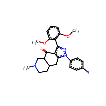 COc1cccc(OC)c1-c1nn(-c2ccc(I)cc2)c2c1C(=O)C1CN(C)CCC1C2